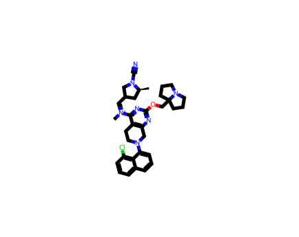 C[C@H]1CC(/C=[N+](/C)c2nc(OCC34CCCN3CCC4)nc3c2CCN(c2cccc4cccc(Cl)c24)C3)CN1C#N